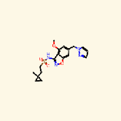 COc1cc(Cn2cccn2)cc2onc(NS(=O)(=O)CCC3(C)CC3)c12